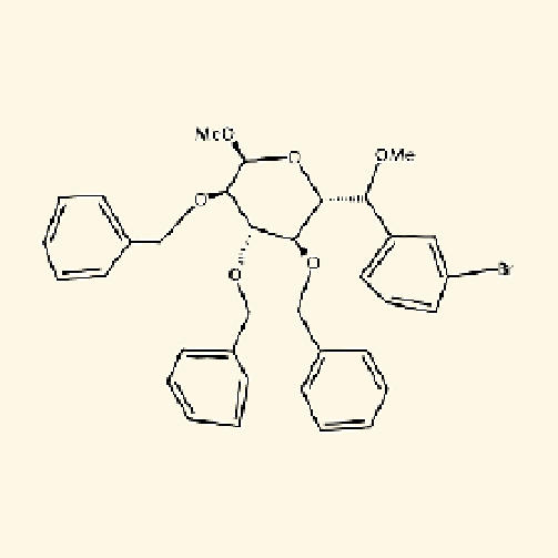 COC(c1cccc(Br)c1)[C@H]1O[C@H](OC)[C@H](OCc2ccccc2)[C@@H](OCc2ccccc2)[C@@H]1OCc1ccccc1